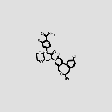 CC(C)C1Cc2ccc(Cl)cc2-c2cc(=O)n([C@@H](C[C@@H]3COCCO3)C(=O)Nc3ccc(C(N)=O)c(F)c3)cc2CO1